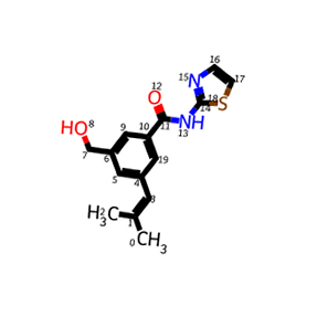 CC(C)=Cc1cc(CO)cc(C(=O)Nc2nccs2)c1